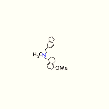 COc1cccc2c1CCCC2CN(C)CCc1ccc2c(c1)CC=C2